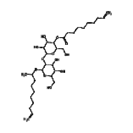 C=CCCCCCCCC(=O)OC1C(CO)OC(OC2C(OC(C)CCCCCCC=C)OC(CO)C(O)C2O)C(O)C1O